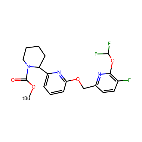 CC(C)(C)OC(=O)N1CCCCC1c1cccc(OCc2ccc(F)c(OC(F)F)n2)n1